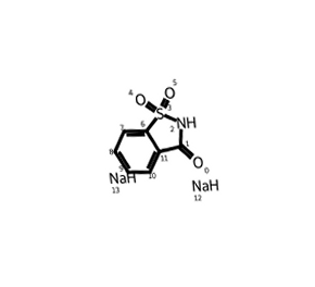 O=C1NS(=O)(=O)c2ccccc21.[NaH].[NaH]